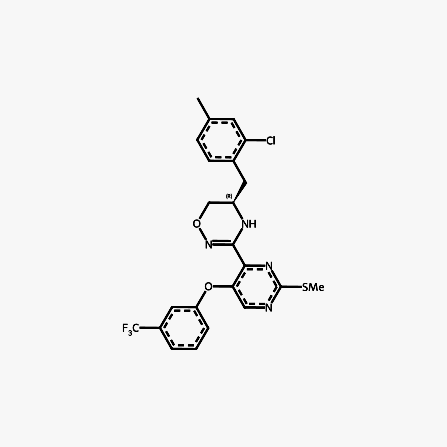 CSc1ncc(Oc2cccc(C(F)(F)F)c2)c(C2=NOC[C@@H](Cc3ccc(C)cc3Cl)N2)n1